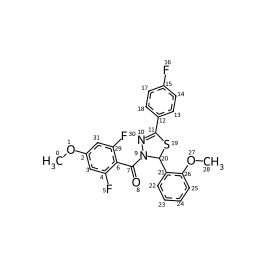 COc1cc(F)c(C(=O)N2N=C(c3ccc(F)cc3)SC2c2ccccc2OC)c(F)c1